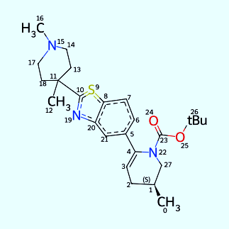 C[C@H]1CC=C(c2ccc3sc(C4(C)CCN(C)CC4)nc3c2)N(C(=O)OC(C)(C)C)C1